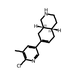 Cc1cc(C2=CC[C@H]3CCNC[C@H]3C2)cnc1Cl